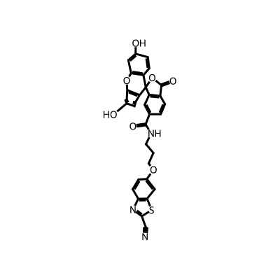 N#Cc1nc2ccc(OCCCNC(=O)c3ccc4c(c3)C3(OC4=O)c4ccc(O)cc4Oc4cc(O)ccc43)cc2s1